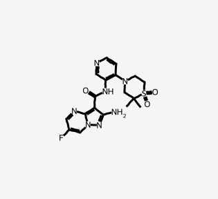 CC1(C)CN(c2ccncc2NC(=O)c2c(N)nn3cc(F)cnc23)CCS1(=O)=O